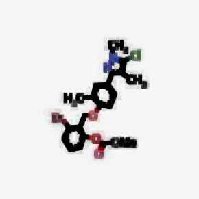 COC(=O)Oc1cccc(Br)c1COc1ccc(-c2nn(C)c(Cl)c2C)cc1C